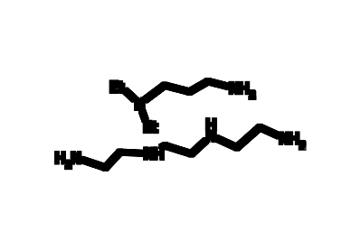 CCN(CC)CCCN.NCCNCCNCCN